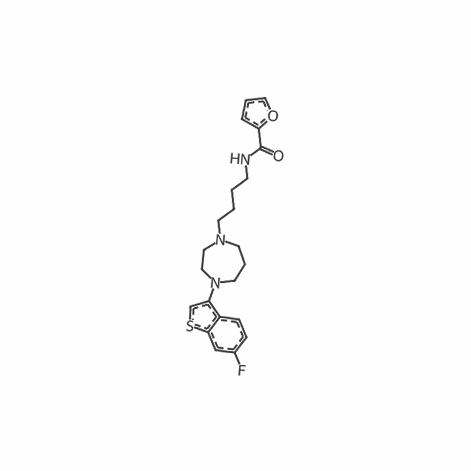 O=C(NCCCCN1CCCN(c2csc3cc(F)ccc23)CC1)c1ccco1